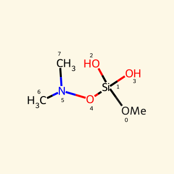 CO[Si](O)(O)ON(C)C